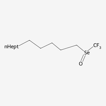 CCCCCCCCCCCC[Se](=O)C(F)(F)F